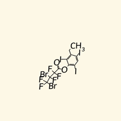 CCc1c(I)cc(I)c(OC(=O)C(F)(F)C(F)(Br)C(F)(F)Br)c1I